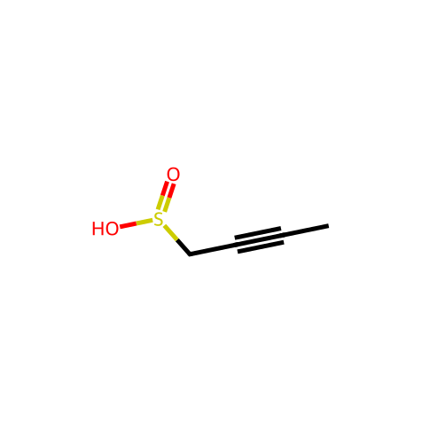 CC#CCS(=O)O